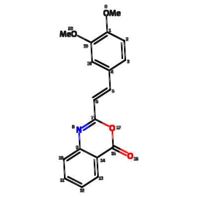 COc1ccc(C=Cc2nc3ccccc3c(=O)o2)cc1OC